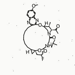 COc1ccc2nc3c(nc2c1)O[C@H]1CN(C(=O)[C@H](C(C)(C)C)NC(=O)O[C@]2(CC(F)F)C[C@H]2CCCCCC3)[C@H](C(C)=O)[C@@H]1C